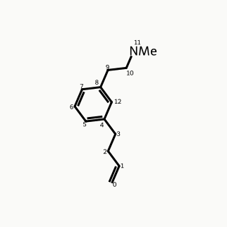 C=CCCc1cccc(CCNC)c1